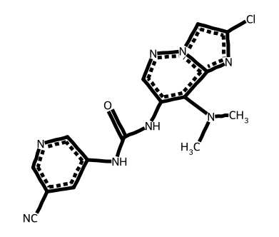 CN(C)c1c(NC(=O)Nc2cncc(C#N)c2)cnn2cc(Cl)nc12